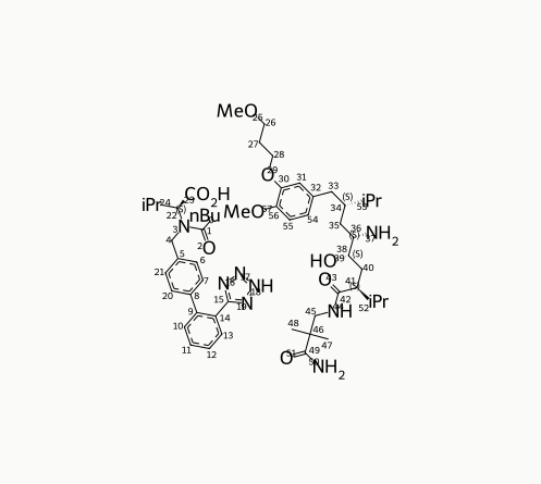 CCCCC(=O)N(Cc1ccc(-c2ccccc2-c2nn[nH]n2)cc1)[C@H](C(=O)O)C(C)C.COCCCOc1cc(C[C@@H](C[C@H](N)[C@@H](O)C[C@H](C(=O)NCC(C)(C)C(N)=O)C(C)C)C(C)C)ccc1OC